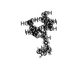 CCC(C)[C@H](NC(C)=O)C(=O)N[C@@H](CC(C)C)C(=O)NCc1ccc(CNC(=O)CN(CCNC(=O)[C@@H](CN(CCN(CC(=O)O)CC(=O)O)CC(=O)O)N(CC(=O)O)CC(=O)O)CCNC(=O)[C@@H](CN(CCN(CC(=O)O)CC(=O)O)CC(=O)O)N(CC(=O)O)CC(=O)O)cc1